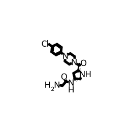 NCC(=O)N[C@H]1CN[C@H](C(=O)N2CCN(c3ccc(Cl)cc3)CC2)C1